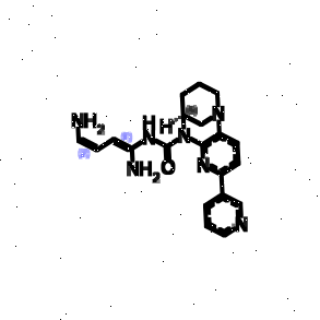 N/C=C\C=C(/N)NC(=O)N1c2nc(-c3cccnc3)ccc2N2CCC[C@H]1C2